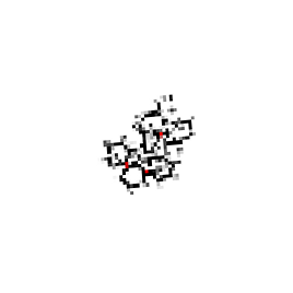 O=C(O)[C@@H]1[C@H]2CC[C@@H](CN1C(=O)N(c1ccccc1)c1ccccc1)N2C(=O)OCc1c(F)cccc1F